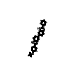 CC(C)(C)Oc1ccc(-c2nc3cc(-c4ccc5nc(-c6ccccc6)[nH]c5c4)ccc3[nH]2)cc1